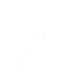 CCCCCCn1c(=O)c(C(OC(C)=O)OC(C)=O)c(OC)c2ccccc21